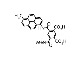 CNC(=O)c1cc(C(=O)Nc2ccc3ccc4c(C)ccc5ccc2c3c54)c(C(=O)O)cc1C(=O)O